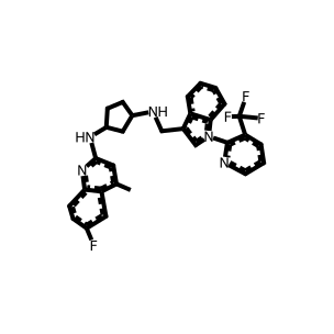 Cc1cc(NC2CCC(NCc3cn(-c4ncccc4C(F)(F)F)c4ccccc34)C2)nc2ccc(F)cc12